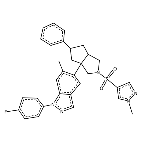 Cc1cc2c(cnn2-c2ccc(F)cc2)cc1C12CC(c3ccccc3)CC1CN(S(=O)(=O)c1cnn(C)c1)C2